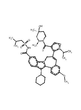 COc1ccc2c(c1)C=C(c1c(C(=O)N3CC[C@](C)(O)C[C@@H]3C)cnn1C(C)C)Cn1c-2c(C2CCCCC2)c2ccc(C(=O)NS(=O)(=O)CC(C)C)cc21